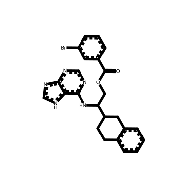 O=C(OCC(Nc1ncnc2nc[nH]c12)C1CCc2ccccc2C1)c1cccc(Br)c1